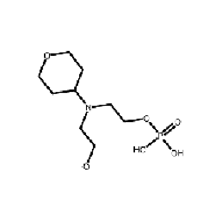 [O]CCN(CCOP(=O)(O)O)C1CCOCC1